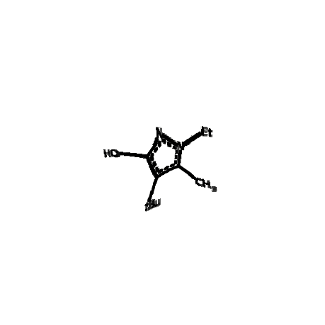 CCn1nc(O)c(C(C)(C)C)c1C